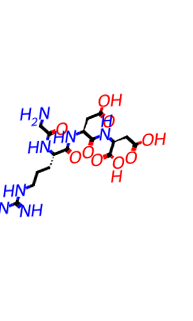 N=C(N)NCCC[C@H](NC(=O)CN)C(=O)N[C@@H](CC(=O)O)C(=O)N[C@@H](CC(=O)O)C(=O)O